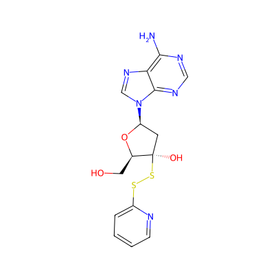 Nc1ncnc2c1ncn2[C@H]1C[C@@](O)(SSc2ccccn2)[C@@H](CO)O1